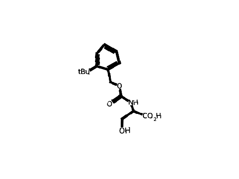 CC(C)(C)c1ccccc1COC(=O)NC(CO)C(=O)O